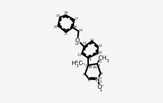 C[C@H]1C[N+]([O-])=CC[C@@]1(C)c1cccc(OCc2ccccc2)c1